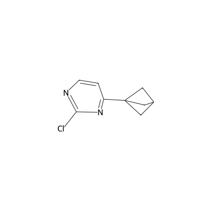 Clc1nccc(C23CC(C2)C3)n1